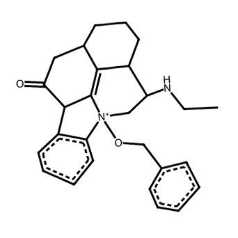 CCNC1C[N+]2(OCc3ccccc3)C3=C4C(CCCC41)CC(=O)C3c1ccccc12